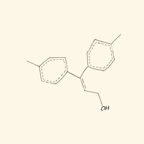 Cc1ccc(C(=CCO)c2ccc(C)cc2)cc1